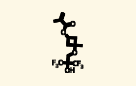 C=C(C)C(=O)OC1CC(C)(OCC(O)(C(F)(F)F)C(F)(F)F)C1